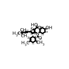 CC1=CC[C@H](C(=O)N(c2cc(C#CC(C)(C)C)sc2C(=O)O)C2CCC(O)CC2)[C@@H](C)C1